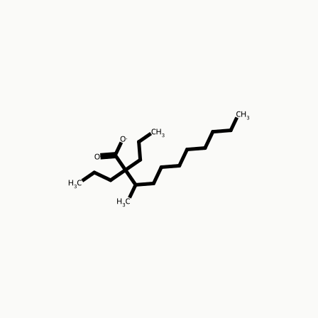 CCCCCCCCC(C)C(CCC)(CCC)C([O])=O